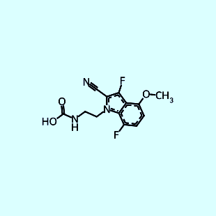 COc1ccc(F)c2c1c(F)c(C#N)n2CCNC(=O)O